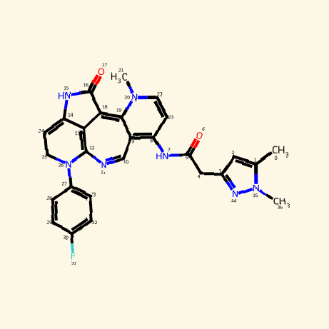 Cc1cc(CC(=O)NC2=c3cnc4c5c([nH]c(=O)c-5c3N(C)C=C2)=CCN4c2ccc(F)cc2)nn1C